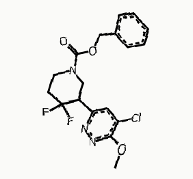 COc1nnc(C2CN(C(=O)OCc3ccccc3)CCC2(F)F)cc1Cl